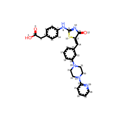 O=C(O)Cc1ccc(NC2=NC(=O)C(=Cc3cccc(N4CCN(c5ccccn5)CC4)c3)S2)cc1